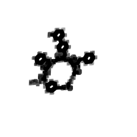 O=C1CCC(=O)N[C@H](CCc2ccccc2)C(=O)N[C@@H](Cc2ccc(-c3cccc(F)c3)cc2)C(=O)N[C@H](Cc2ccccc2)C(=O)N[C@H](C(=O)O)Cc2ccc(cc2)N1